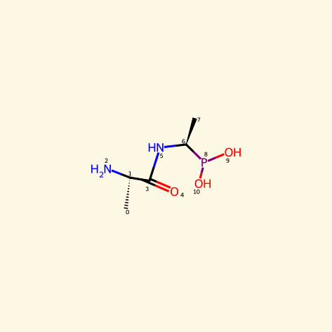 C[C@H](N)C(=O)N[C@@H](C)P(O)O